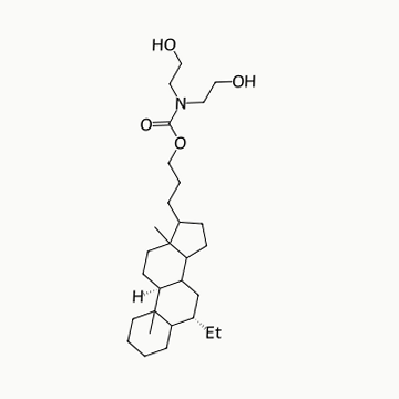 CC[C@H]1CC2C3CCC(CCCOC(=O)N(CCO)CCO)C3(C)CC[C@@H]2C2(C)CCCCC12